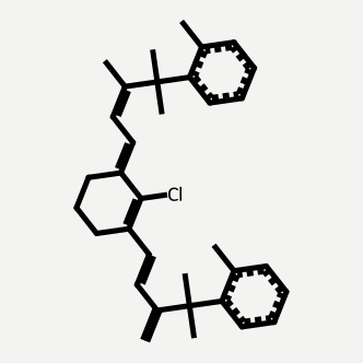 C=C(/C=C/C1=C(Cl)C(=C/C=C(/C)C(C)(C)c2ccccc2C)/CCC1)C(C)(C)c1ccccc1C